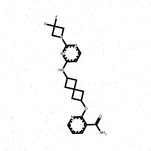 NC(=O)c1cccnc1OC1CC2(CC(Nc3ccnc(N4CC(F)(F)C4)n3)C2)C1